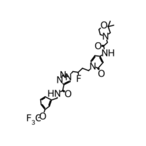 CC1(C)CN(CC(=O)Nc2ccn(CCC(F)Cn3cc(C(=O)NCc4cccc(OC(F)(F)F)c4)nn3)c(=O)c2)CCO1